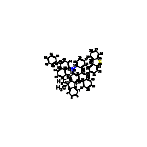 CC1(C)c2ccccc2-c2ccc(N(c3cccc(-c4cccc5sc6ccccc6c45)c3-c3ccc4ccccc4c3)c3ccc(-c4ccccc4)c4ccccc34)cc21